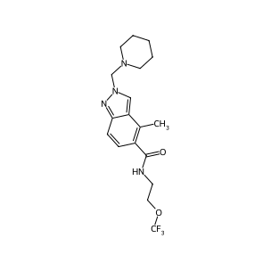 Cc1c(C(=O)NCCOC(F)(F)F)ccc2nn(CN3CCCCC3)cc12